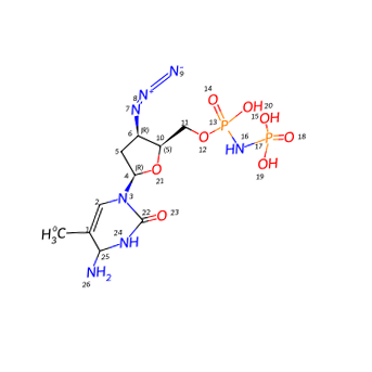 CC1=CN([C@H]2C[C@@H](N=[N+]=[N-])[C@@H](COP(=O)(O)NP(=O)(O)O)O2)C(=O)NC1N